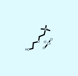 C[N+](C)(C)CCOCCO.[Cl-].[Cl][Cu][Cl]